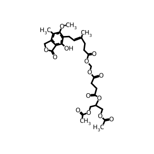 COc1c(C)c2c(c(O)c1C/C=C(\C)CCC(=O)OCOC(=O)CCC(=O)OC(COC(C)=O)COC(C)=O)C(=O)OC2